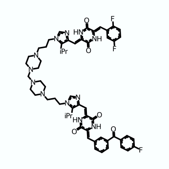 CC(C)c1c(/C=c2\[nH]c(=O)/c(=C/c3cccc(C(=O)c4ccc(F)cc4)c3)[nH]c2=O)ncn1CCCN1CCN(CN2CCN(CCCn3cnc(/C=c4\[nH]c(=O)/c(=C/c5cc(F)ccc5F)[nH]c4=O)c3C(C)C)CC2)CC1